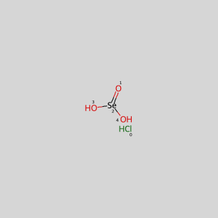 Cl.O=[Se](O)O